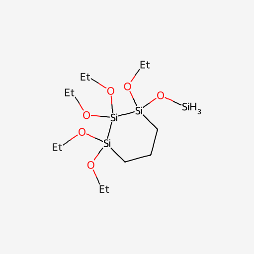 CCO[Si]1(O[SiH3])CCC[Si](OCC)(OCC)[Si]1(OCC)OCC